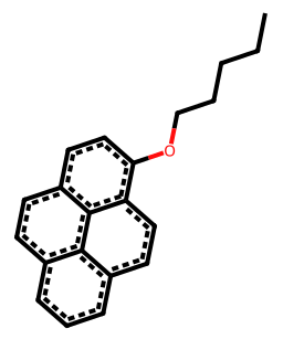 CCCCCOc1ccc2ccc3cccc4ccc1c2c34